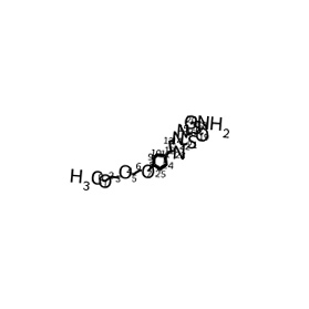 COCCOCCOc1ccc(C2CN3N=C(S(N)(=O)=O)SC3=N2)cc1